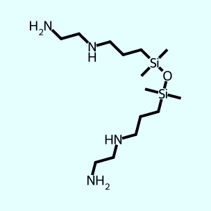 C[Si](C)(CCCNCCN)O[Si](C)(C)CCCNCCN